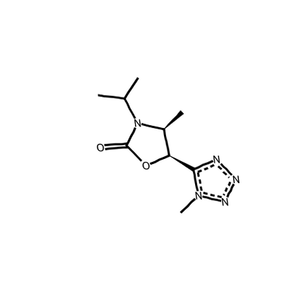 CC(C)N1C(=O)O[C@H](c2nnnn2C)[C@@H]1C